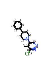 Cc1c(N2CCC(c3ccccc3)CC2)cnnc1Cl